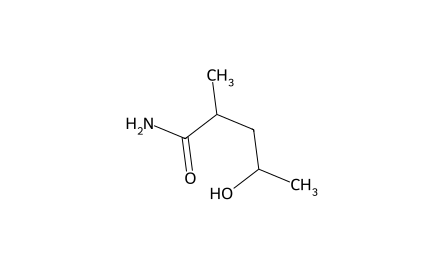 CC(O)CC(C)C(N)=O